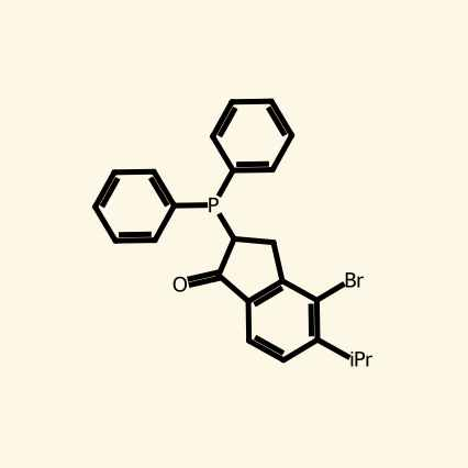 CC(C)c1ccc2c(c1Br)CC(P(c1ccccc1)c1ccccc1)C2=O